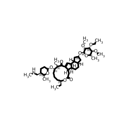 CCO[C@@H]1[C@@H](OC)[C@H](C)O[C@@H](O[C@@H]2C[C@H]3CC[C@@H]4[C@@H](C=C5C(=O)[C@H](C)[C@@H](O[C@H]6CC[C@H](CNC)[C@@H](C)O6)CCC[C@H](CC)OC(=O)C[C@H]54)[C@@H]3C2)[C@@H]1OC